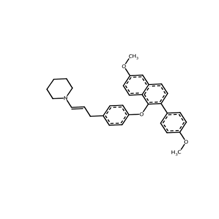 COc1ccc(-c2ccc3cc(OC)ccc3c2Oc2ccc(CC=CN3CCCCC3)cc2)cc1